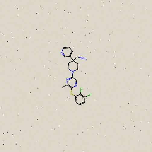 Cc1nc(N2CCC(CN)(c3cccnc3)CC2)cnc1Sc1cccc(Cl)c1Cl